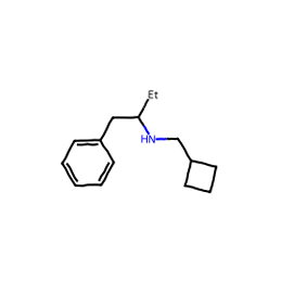 CCC(Cc1ccccc1)NCC1CCC1